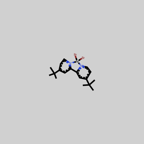 CC(C)(C)c1cc[n+]2c(c1)-c1cc(C(C)(C)C)cc[n+]1[Ni]2([Br])[Br]